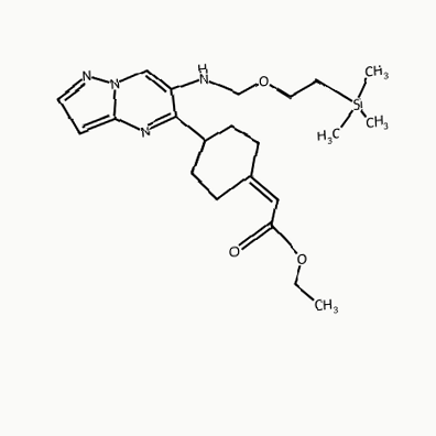 CCOC(=O)C=C1CCC(c2nc3ccnn3cc2NCOCC[Si](C)(C)C)CC1